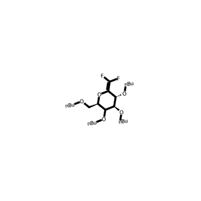 CCCCOC[C@H]1OC(=C(F)F)[C@H](OCCCC)[C@@H](OCCCC)C1OCCCC